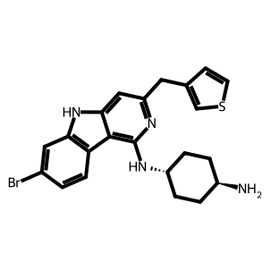 N[C@H]1CC[C@H](Nc2nc(Cc3ccsc3)cc3[nH]c4cc(Br)ccc4c23)CC1